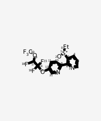 CC[S+]([O-])c1cccnc1-c1ccc(OC(F)(F)C(F)OC(F)(F)F)cn1